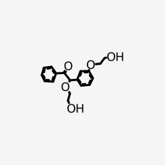 O=C(c1ccccc1)C(OCCO)c1cccc(OCCO)c1